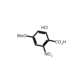 COc1ccc(C(=O)O)c([N+](=O)[O-])c1.Cl